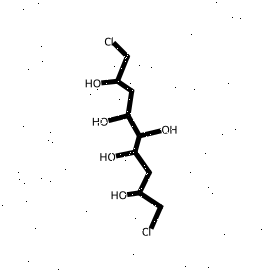 OC(CCl)CC(O)C(O)C(O)CC(O)CCl